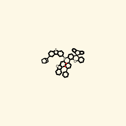 c1ccc(-c2ccc(-c3c(N(c4ccc5c(c4)oc4ccccc45)c4ccc5sc6ccc(C7CC8CCC7C8)cc6c5c4)ccc4c3Oc3ccccc3C43c4ccccc4-c4ccccc43)cc2)cc1